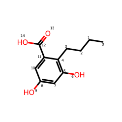 CCCCc1c(O)cc(O)cc1C(=O)O